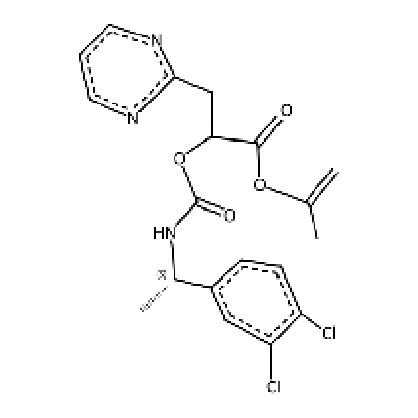 C=C(C)OC(=O)C(Cc1ncccn1)OC(=O)N[C@@H](C)c1ccc(Cl)c(Cl)c1